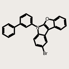 Brc1ccc2c(c1)c1c3ccccc3oc1n2-c1cccc(-c2ccccc2)c1